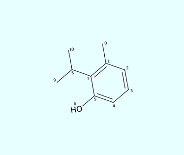 Cc1cccc(O)c1C(C)C